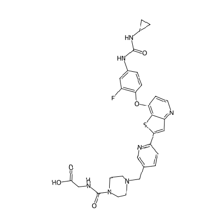 O=C(O)CNC(=O)N1CCN(Cc2ccc(-c3cc4nccc(Oc5ccc(NC(=O)NC6CC6)cc5F)c4s3)nc2)CC1